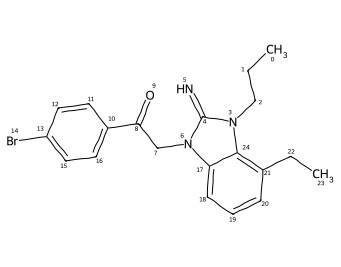 CCCn1c(=N)n(CC(=O)c2ccc(Br)cc2)c2cccc(CC)c21